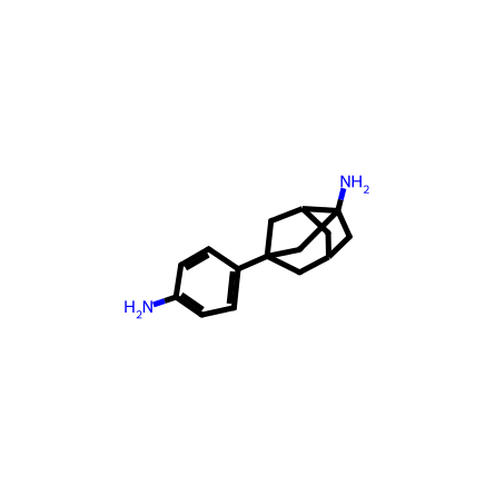 Nc1ccc(C23CC4CC(C2)C(N)(C4)C3)cc1